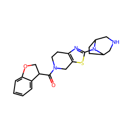 O=C(C1COc2ccccc21)N1CCc2nc(N3C4CCC3CNC4)sc2C1